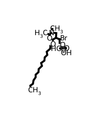 CCCCCCCCCCCCCCCCOCC(CN(C)C(C)=O)C(Br)COP(=O)(O)O